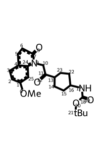 COc1ccc2ccc(=O)n(CC(=O)C3CCC(NC(=O)OC(C)(C)C)CC3)c2c1